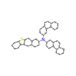 c1ccc2c(c1)ccc1cc(N(c3ccc4cc5c(cc4c3)sc3ccccc35)c3ccc4ccc5ccccc5c4c3)ccc12